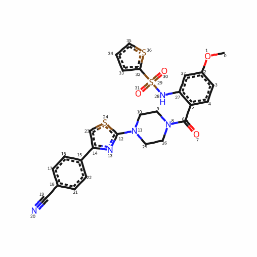 COc1ccc(C(=O)N2CCN(c3nc(-c4ccc(C#N)cc4)cs3)CC2)c(NS(=O)(=O)c2cccs2)c1